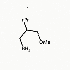 BCC(CCC)COC